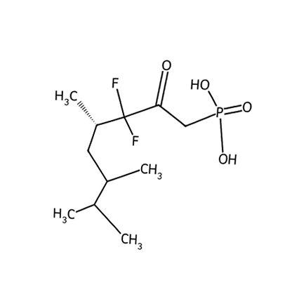 CC(C)C(C)C[C@H](C)C(F)(F)C(=O)CP(=O)(O)O